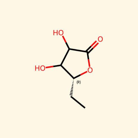 CC[C@H]1OC(=O)C(O)C1O